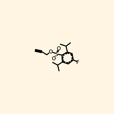 C#CCOS(=O)(=O)c1c(C(C)C)cc(F)cc1C(C)C